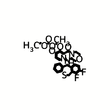 CCOC(=O)OC(C)Oc1c2n(ccc1=O)N([C@@H]1c3ccccc3SCc3c1ccc(F)c3F)[C@@H]1COCCN1C2=O